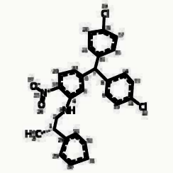 C[C@H](CNc1cc(C(c2ccc(Cl)cc2)c2ccc(Cl)cc2)ccc1[N+](=O)[O-])c1ccccc1